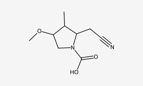 COC1CN(C(=O)O)C(CC#N)C1C